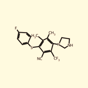 Cc1c(C)c(N2CCNC2)c(C(F)(F)F)c(C#N)c1Sc1ccc(F)cc1